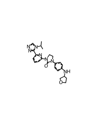 CC(C)n1cnnc1-c1cccc(N2CCN(c3ccc(NC4CCOC4)cc3)C2=O)n1